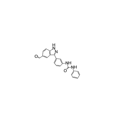 O=Cc1ccc2[nH]nc(-c3cccc(NC(=O)Nc4ccccc4)c3)c2c1